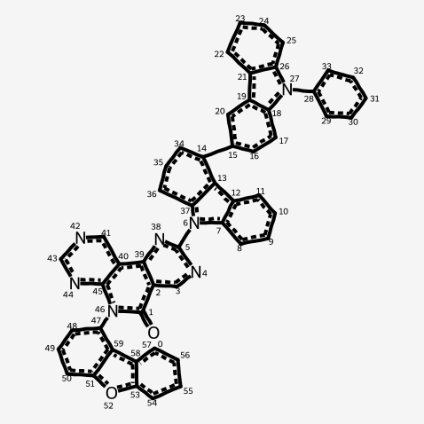 O=c1c2cnc(-n3c4ccccc4c4c(-c5ccc6c(c5)c5ccccc5n6-c5ccccc5)cccc43)nc2c2cncnc2n1-c1cccc2oc3ccccc3c12